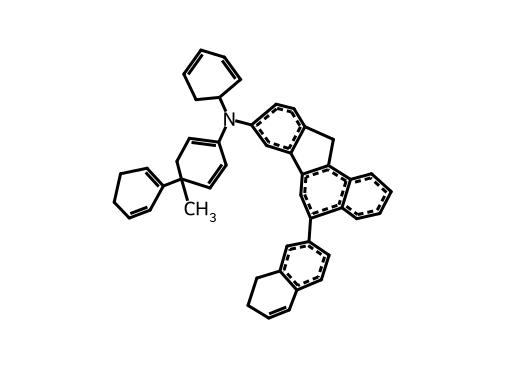 CC1(C2=CCCC=C2)C=CC(N(c2ccc3c(c2)-c2cc(-c4ccc5c(c4)CCC=C5)c4ccccc4c2C3)C2C=CC=CC2)=CC1